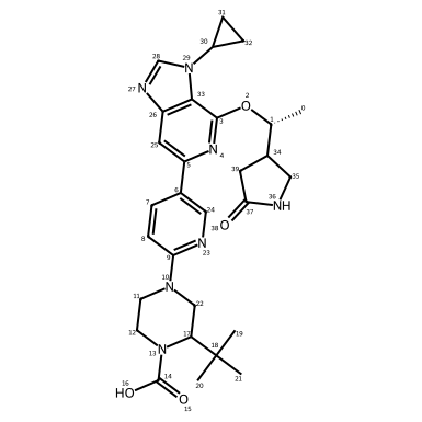 C[C@@H](Oc1nc(-c2ccc(N3CCN(C(=O)O)C(C(C)(C)C)C3)nc2)cc2ncn(C3CC3)c12)C1CNC(=O)C1